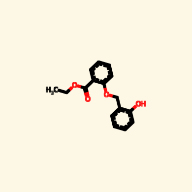 CCOC(=O)c1ccccc1OCc1ccccc1O